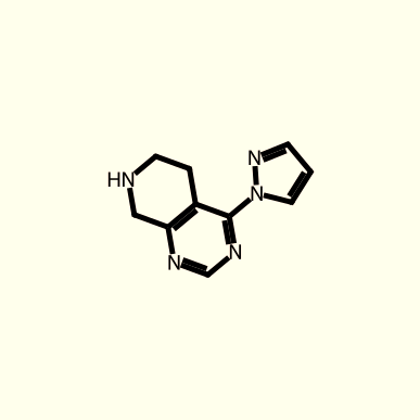 c1cnn(-c2ncnc3c2CCNC3)c1